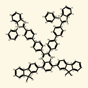 CC1(C)c2ccccc2-c2ccc(-c3ccc(-c4ccc5c(c4)C(C)(C)c4ccccc4-5)c4nc(-c5ccc(-c6ccc(-c7nc8ccccc8n7-c7ccccc7)cc6)cc5)c(-c5ccc(-c6ccc(-c7nc8ccccc8n7-c7ccccc7)cc6)cc5)nc34)cc21